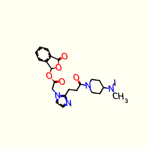 CN(I)C1CCN(C(=O)CCc2nccn2CC(=O)OC2OC(=O)c3ccccc32)CC1